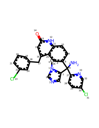 Cn1cncc1C(N)(c1ccc2[nH]c(=O)cc(Cc3cccc(Cl)c3)c2c1)c1ccc(Cl)cn1